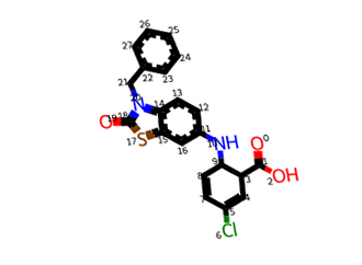 O=C(O)C1C=C(Cl)C=CC1Nc1ccc2c(c1)sc(=O)n2Cc1ccccc1